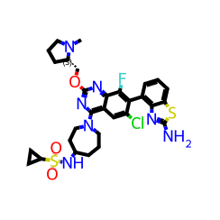 CN1CCC[C@H]1COc1nc(N2CCCC(NS(=O)(=O)C3CC3)CC2)c2cc(Cl)c(-c3cccc4sc(N)nc34)c(F)c2n1